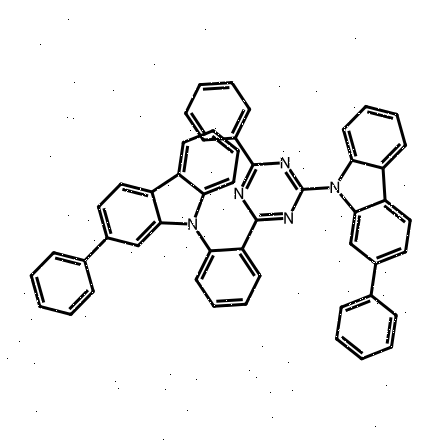 c1ccc(-c2ccc3c4ccccc4n(-c4nc(-c5ccccc5)nc(-c5ccccc5-n5c6ccccc6c6ccc(-c7ccccc7)cc65)n4)c3c2)cc1